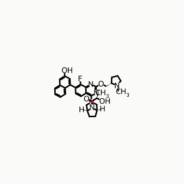 C[C@H](O)C(=O)N1[C@@H]2CC[C@H]1CN(c1nc(OC[C@@H]3CCCN3C)nc3c(F)c(-c4cc(O)cc5ccccc45)ccc13)C2